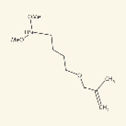 C=C(C)COCCCC[SiH](OC)OC